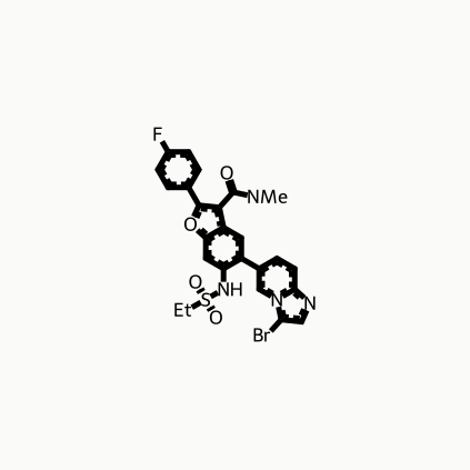 CCS(=O)(=O)Nc1cc2oc(-c3ccc(F)cc3)c(C(=O)NC)c2cc1-c1ccc2ncc(Br)n2c1